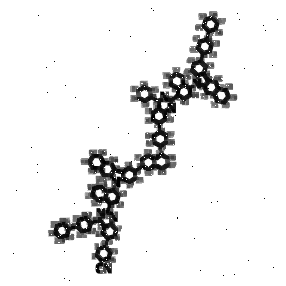 N#Cc1ccc(-c2ccc3nc(-c4ccc(-n5c6ccc(-c7ccc8c(-c9ccc(-c%10ccc%11c(-c%12ccccc%12)nc(-c%12ccc(-n%13c%14ccc(-c%15ccc(-c%16ccccc%16)cc%15)cc%14c%14cc%15ccccc%15cc%14%13)c%13ccccc%12%13)nc%11c%10)cc9)cccc8c7)cc6c6cc7ccccc7cc65)c5ccccc45)nc(-c4ccc(-c5ccccc5)cc4)c3c2)cc1